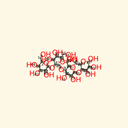 OC[C@H]1O[C@H](O[C@H]2[C@@H](O[C@H]3[C@H](O)[C@@H](O)[C@@H](O[C@H]4[C@H](O)[C@@H](O)C(O)O[C@@H]4CO)O[C@@H]3CO)O[C@H](CO)[C@@H](O)[C@@H]2O)[C@H](O)[C@@H](O)[C@@H]1O